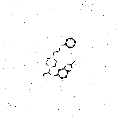 Cc1nc2cc(OC([C@@H](C)O)N3CCN(CCOc4ccccc4)CC3)ccc2s1